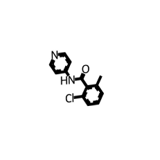 Cc1cccc(Cl)c1C(=O)Nc1ccncc1